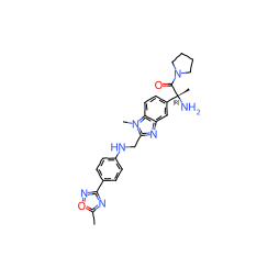 Cc1nc(-c2ccc(NCc3nc4cc([C@@](C)(N)C(=O)N5CCCC5)ccc4n3C)cc2)no1